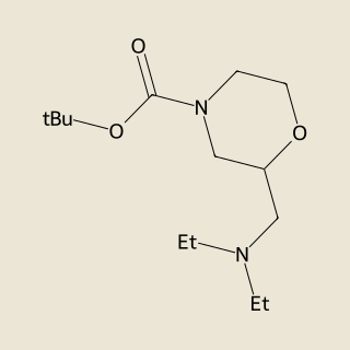 CCN(CC)CC1CN(C(=O)OC(C)(C)C)CCO1